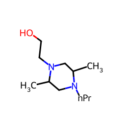 CCCN1CC(C)N(CCO)CC1C